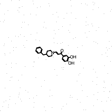 O=C(C=CN1CCC(Cc2ccccc2)CC1)c1ccc(O)c(O)c1